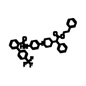 O=C(Nc1ccc(N2CCC(C(C(=O)OCCc3ccccc3)c3ccccc3)CC2)cc1)c1ccccc1-c1ccc(C(F)(F)F)cc1